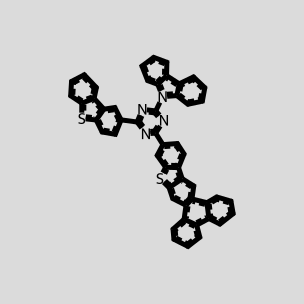 c1ccc2c(c1)sc1ccc(-c3nc(-c4ccc5c(c4)sc4cc6c7ccccc7c7ccccc7c6cc45)nc(-n4c5ccccc5c5ccccc54)n3)cc12